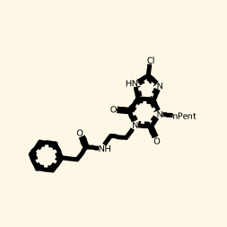 CCCCCn1c(=O)n(CCNC(=O)Cc2ccccc2)c(=O)c2[nH]c(Cl)nc21